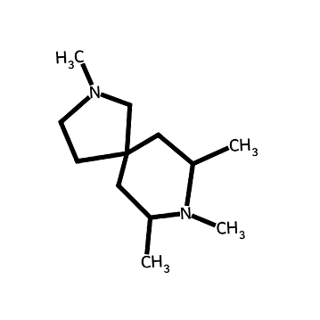 CC1CC2(CCN(C)C2)CC(C)N1C